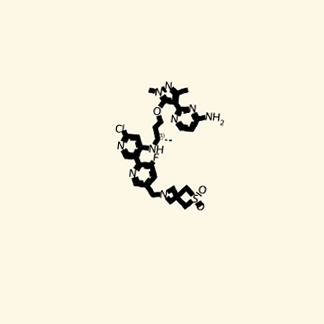 Cc1nn(C)c(OCC[C@H](C)Nc2cc(Cl)ncc2-c2ncc(CN3CC4(C3)CS(=O)(=O)C4)cc2F)c1-c1nccc(N)n1